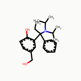 CCC(c1ccccc1)(c1cc(CO)ccc1O)N(C(C)C)C(C)C